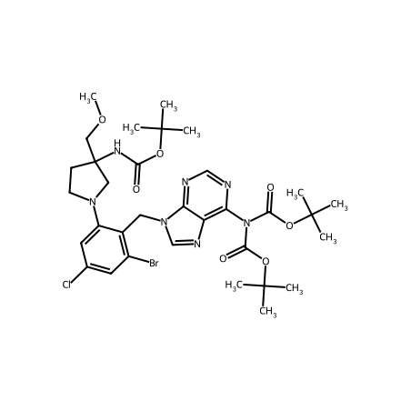 COCC1(NC(=O)OC(C)(C)C)CCN(c2cc(Cl)cc(Br)c2Cn2cnc3c(N(C(=O)OC(C)(C)C)C(=O)OC(C)(C)C)ncnc32)C1